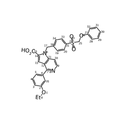 CCOc1cccc(-c2nccc3c2cc(C(=O)O)n3Cc2ccc(S(=O)(=O)COc3ccccc3)cc2)c1